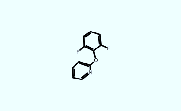 Fc1cccc(F)c1Oc1c[c]ccn1